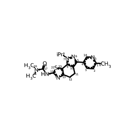 Cc1ccc(-c2nn(C(C)C)c3c2CCc2nc(NC(=O)N(C)C)sc2-3)cn1